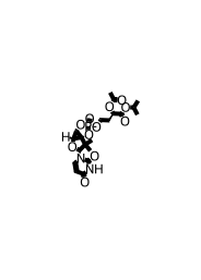 CC(=O)O[C@H](CCO[P@@]1(=O)OC2[C@H]3O[C@@H](n4ccc(=O)[nH]c4=O)C(C)(C)[C@]23O1)C(=O)OC(C)C